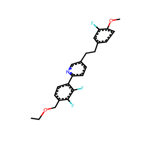 CCOCc1ccc(-c2ccc(CCc3ccc(OC)c(F)c3)cn2)c(F)c1F